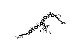 [C-]#[N+]/C(C(=O)OC(C)C)=C1\Sc2c(OC(=O)C3CCC(OC(=O)C(=O)C4CCC(C(=C)CCCOCCOO)CC4)CC3)ccc(OC(=O)C3CCC(OC(=O)C4CCC(OCCCCOC(=O)C=C)CC4)CC3)c2S1